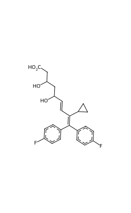 O=C(O)CC(O)CC(O)/C=C/C(=C(c1ccc(F)cc1)c1ccc(F)cc1)C1CC1